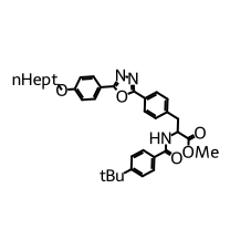 CCCCCCCOc1ccc(-c2nnc(-c3ccc(CC(NC(=O)c4ccc(C(C)(C)C)cc4)C(=O)OC)cc3)o2)cc1